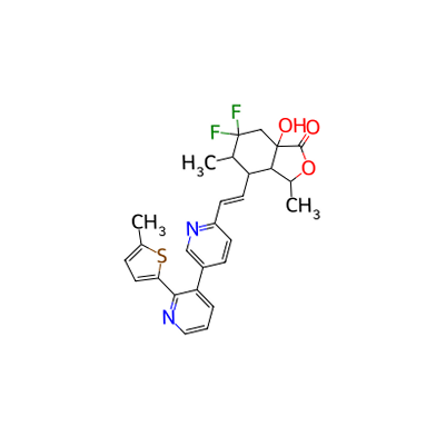 Cc1ccc(-c2ncccc2-c2ccc(/C=C/C3C(C)C(F)(F)CC4(O)C(=O)OC(C)C34)nc2)s1